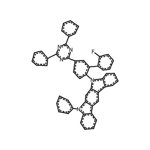 Fc1ccccc1-c1cc(-c2nc(-c3ccccc3)nc(-c3ccccc3)n2)ccc1-n1c2ccccc2c2cc3c4ccccc4n(-c4ccccc4)c3cc21